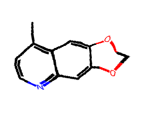 Cc1ccnc2cc3c(cc12)OCO3